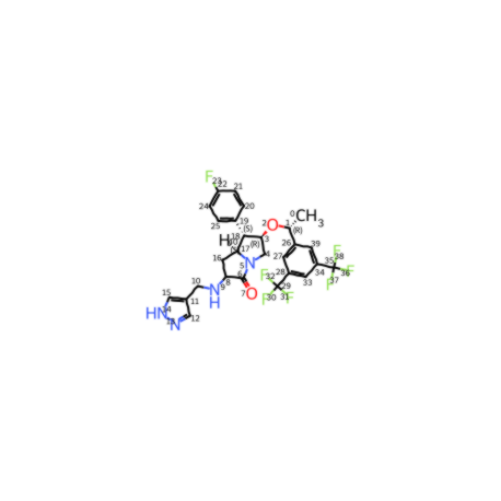 C[C@@H](O[C@H]1CN2C(=O)C(NCc3cn[nH]c3)C[C@H]2[C@@H]1c1ccc(F)cc1)c1cc(C(F)(F)F)cc(C(F)(F)F)c1